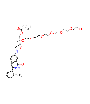 O=C(O)C(=O)OCC(C[C@H]1CN(c2ccc3cc(-c4ccccc4C(F)(F)F)[nH]c(=O)c3c2)CO1)OCCOCCOCCOCCOCCOCCO